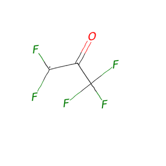 O=C([C](F)F)C(F)(F)F